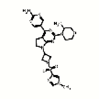 C[C@H]1COCCN1c1nc(-c2cnc(N)nc2)c2c(n1)N(C1CN(S(=O)(=O)c3cn(C)cn3)C1)CC2